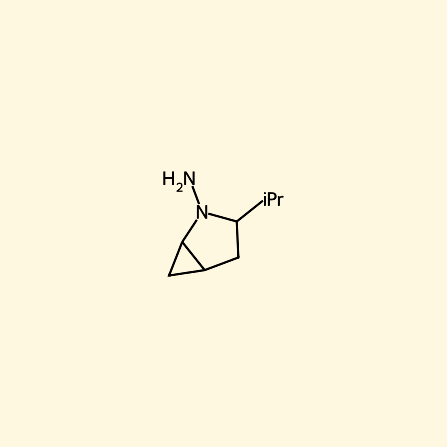 CC(C)C1CC2CC2N1N